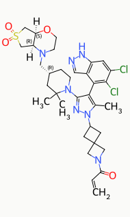 C=CC(=O)N1CC2(CC(n3nc(N4CC[C@@H](CN5CCO[C@@H]6CS(=O)(=O)C[C@@H]65)CC4(C)C)c(-c4c(Cl)c(Cl)cc5[nH]ncc45)c3C)C2)C1